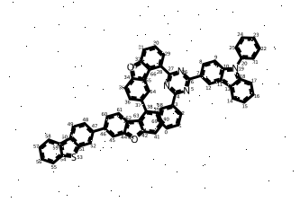 c1ccc(-c2nc(-c3ccc4c(c3)c3ccccc3n4-c3ccccc3)nc(-c3cccc4oc5ccc(-c6cccc7oc8cc(-c9ccc%10c(c9)sc9ccccc9%10)ccc8c67)cc5c34)n2)cc1